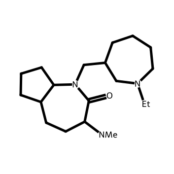 CCN1CCCCC(CN2C(=O)C(NC)CCC3CCCC32)C1